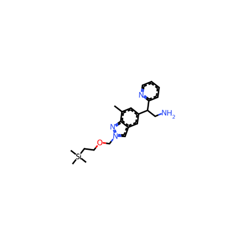 Cc1cc(C(CN)c2ccccn2)cc2cn(COCC[Si](C)(C)C)nc12